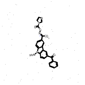 CNn1c2ccc(C(=O)c3ccccc3)cc2c2cc(/C(=N/OC(=O)n3ccnc3)C(Cl)(Cl)Cl)ccc21